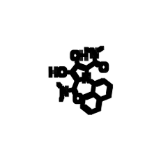 CN(C)C(=O)c1c(O)c(O)c(C(=O)N(C)C)n1-c1cccc2ccccc12